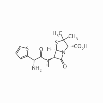 CC1(C)S[C@@H]2[C@H](NC(=O)C(N)c3cccs3)C(=O)N2[C@H]1C(=O)O